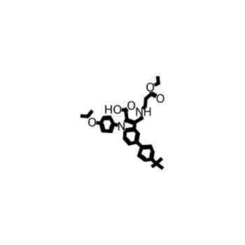 CCOC(=O)CCNCc1c(C(=O)O)n(-c2ccc(OC(C)C)cc2)c2ccc(-c3ccc(C(C)(C)C)cc3)cc12